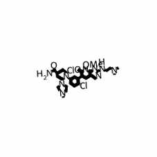 COn1c(=O)c(-c2cc(N3C(N4CCN(C)CC4)=CC(C(N)=O)=CC3Cl)ccc2Cl)cc2cnc(NCCN(C)C)nc21